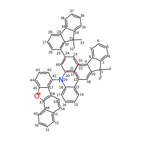 CC1(C)c2ccccc2-c2ccc(-c3ccccc3N(c3cccc(-c4cccc5c4C(C)(C)c4ccccc4-5)c3)c3cccc4oc5c6ccccc6ccc5c34)cc21